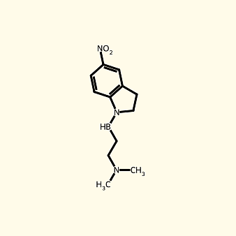 CN(C)CCBN1CCc2cc([N+](=O)[O-])ccc21